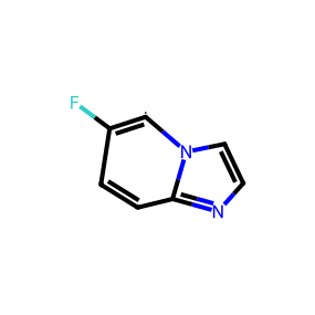 Fc1[c]n2ccnc2cc1